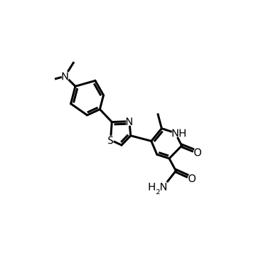 Cc1[nH]c(=O)c(C(N)=O)cc1-c1csc(-c2ccc(N(C)C)cc2)n1